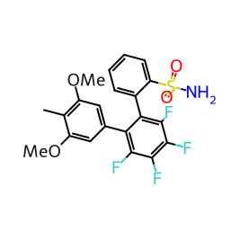 COc1cc(-c2c(F)c(F)c(F)c(F)c2-c2ccccc2S(N)(=O)=O)cc(OC)c1C